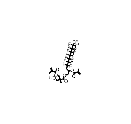 C=C(C)C(=O)OCC(C)(CO)C(=O)OCC(CC(F)(F)C(F)(F)C(F)(F)C(F)(F)C(F)(F)C(F)(F)C(F)(F)C(F)(F)F)OC(=O)C(=C)C